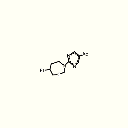 CCC1CCCN(c2ncc(C(C)=O)cn2)CC1